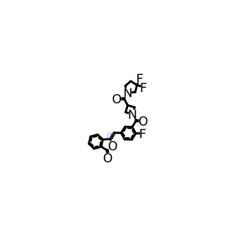 O=C1O/C(=C\c2ccc(F)c(C(=O)N3CC(C(=O)N4CCC(F)(F)C4)C3)c2)c2ccccc21